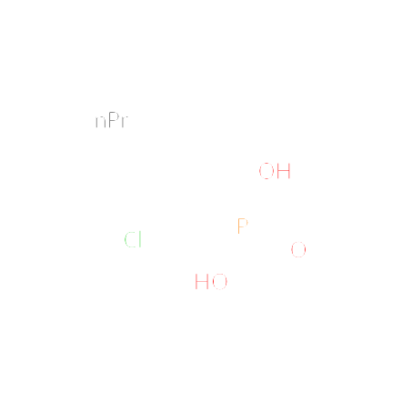 CCCCC(Cl)P(=O)(O)O